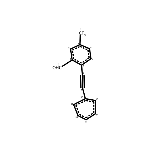 O=Cc1cc(C(F)(F)F)ccc1C#Cc1ccccc1